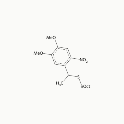 CCCCCCCCSC(C)c1cc(OC)c(OC)cc1[N+](=O)[O-]